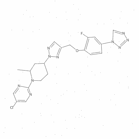 CC1CC(n2ncc(COc3ccc(-n4cnnn4)cc3F)n2)CCN1c1ncc(Cl)cn1